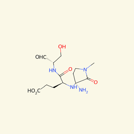 CN1CC[C@](N)(N[C@@H](CCC(=O)O)C(=O)N[C@H](C=O)CO)C1=O